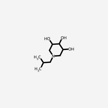 CC(C)CN1CC(O)C(O)C(O)C1